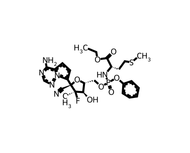 CCOC(=O)[C@H](CCSC)NP(=O)(OC[C@H]1O[C@@](C#N)(c2ccc3c(N)ncnn23)[C@](C)(F)[C@@H]1O)Oc1ccccc1